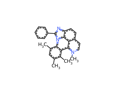 Cc1cc(C)c2c(c1C)c1c3c(ccc4nc(-c5ccccc5)n2c43)cc[n+]1C